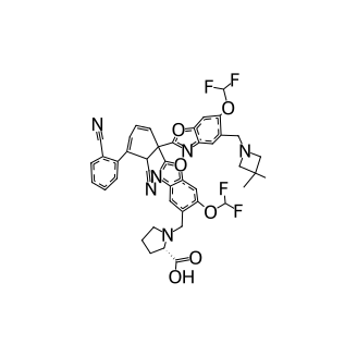 CC1(C)CN(Cc2cc3nc(C4(c5nc6cc(CN7CCC[C@H]7C(=O)O)c(OC(F)F)cc6o5)C=CC=C(c5ccccc5C#N)C4C#N)oc3cc2OC(F)F)C1